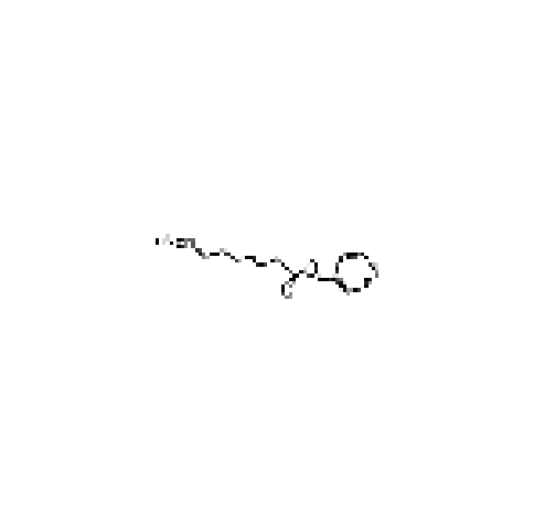 CCCCCCCCCCCCCCCC(=O)OCc1ccncc1